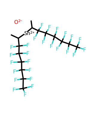 C[CH]([Sn+2][CH](C)C(F)(F)C(F)(F)C(F)(F)C(F)(F)C(F)(F)C(F)(F)F)C(F)(F)C(F)(F)C(F)(F)C(F)(F)C(F)(F)C(F)(F)F.[O-2]